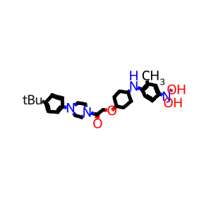 Cc1cc(N(O)O)ccc1NC1CCC(OCC(=O)N2CCN(c3ccc(C(C)(C)C)cc3)CC2)CC1